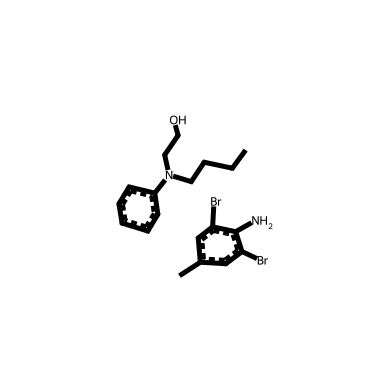 CCCCN(CCO)c1ccccc1.Cc1cc(Br)c(N)c(Br)c1